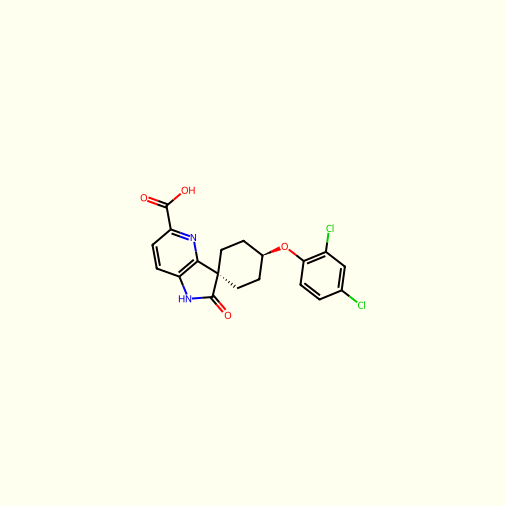 O=C(O)c1ccc2c(n1)[C@]1(CC[C@H](Oc3ccc(Cl)cc3Cl)CC1)C(=O)N2